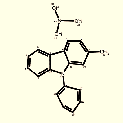 Cc1ccc2c3ccccc3n(-c3ccccc3)c2c1.OB(O)O